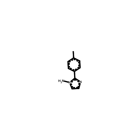 Cc1ccc(-c2nccn2N)cc1